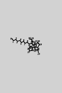 CCCCCCCCCCCC([N+]1(CCCC)CCCC1)[N+]1(CCCC)CCCC1